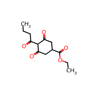 CCCC(=O)C1C(=O)CC(C(=O)OCC)CC1=O